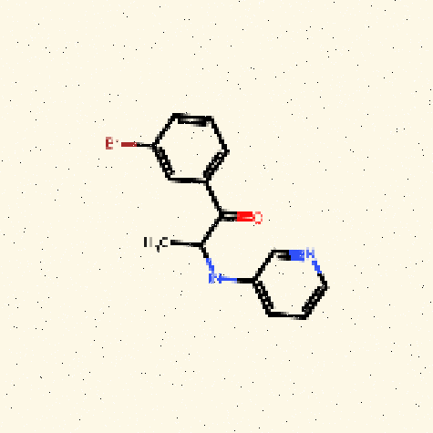 CC(Nc1cccnc1)C(=O)c1cccc(Br)c1